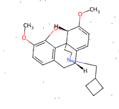 COC1=CC=C2[C@@H]3Cc4ccc(OC)c5c4C2(CCN3CC2CCC2)[C@@H]1O5